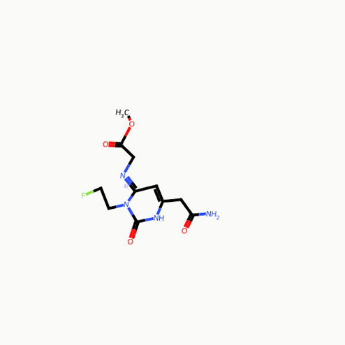 COC(=O)C/N=c1\cc(CC(N)=O)[nH]c(=O)n1CCF